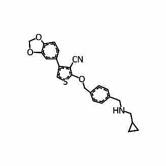 N#Cc1c(-c2ccc3c(c2)OCO3)csc1OCc1ccc(CNCC2CC2)cc1